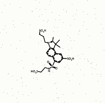 CC1=[N+](CCCS(=O)(=O)O)c2ccc3c(S(=O)(=O)NCCS(=O)(=O)O)cc(S(=O)(=O)O)cc3c2C1(C)C